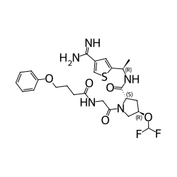 C[C@@H](NC(=O)[C@@H]1C[C@@H](OC(F)F)CN1C(=O)CNC(=O)CCCOc1ccccc1)c1cc(C(=N)N)cs1